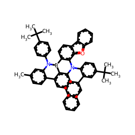 Cc1ccc2c(c1)N(c1ccc(C(C)(C)C)cc1)B1c3ccc4c(oc5ccccc54)c3N(c3ccc(C(C)(C)C)cc3-c3ccccc3)c3cc(-c4ccccc4)cc-2c31